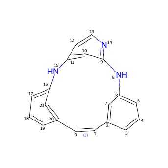 C1=C\c2cccc(c2)Nc2cc(ccn2)Nc2cccc/1c2